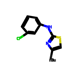 CCCCc1csc(Nc2cccc(Cl)c2)n1